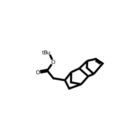 CC(C)(C)OC(=O)CC1CC2CC1C1C3C=CC(C3)C21